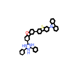 C1=CC(C2NC(c3ccccc3)NC(C3C=c4c(oc5ccc(-c6ccc7c(c6)sc6cc(-n8c9ccccc9c9ccccc98)ccc67)cc45)=CC3)N2)=CCC1